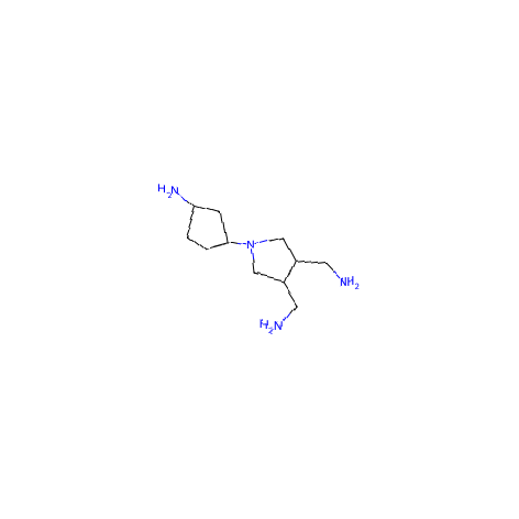 NCC1CN(C2CCC(N)C2)CC1CN